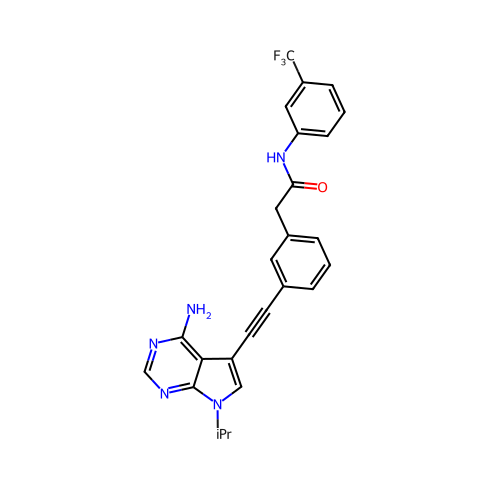 CC(C)n1cc(C#Cc2cccc(CC(=O)Nc3cccc(C(F)(F)F)c3)c2)c2c(N)ncnc21